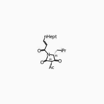 CCCCCCCC=CC(=O)N1C(=O)[C@H](C(C)=O)C(=O)[C@H]1CC(C)C